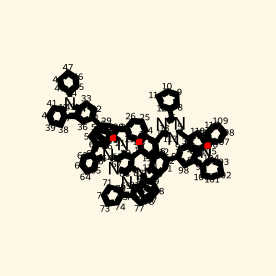 c1ccc(-c2nc(-c3ccccc3)nc(-c3ccc(-c4c(-n5c6ccccc6c6cc(-c7ccc8c(c7)c7ccccc7n8-c7ccccc7)ccc65)c(-n5c6ccccc6c6ccccc65)nc(-n5c6ccccc6c6ccccc65)c4-n4c5ccccc5c5cc(-c6ccc7c(c6)c6ccccc6n7-c6ccccc6)ccc54)cc3)n2)cc1